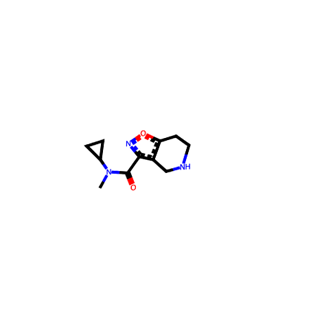 CN(C(=O)c1noc2c1CNCC2)C1CC1